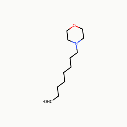 O=[C]CCCCCCCN1CCOCC1